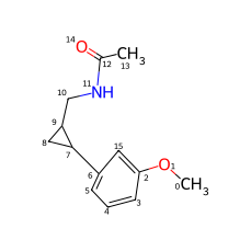 COc1cccc(C2CC2CNC(C)=O)c1